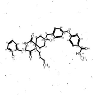 CCCCN1C(=O)[C@H](Cc2cccc[n+]2[O-])NC(=O)C12CC[N+]([O-])(Cc1ccc(Oc3ccc(C(=O)NC)cc3)cc1)CC2